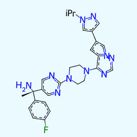 CC(C)n1cc(-c2cc3c(N4CCN(c5ncc([C@@](C)(N)c6ccc(F)cc6)cn5)CC4)ncnn3c2)cn1